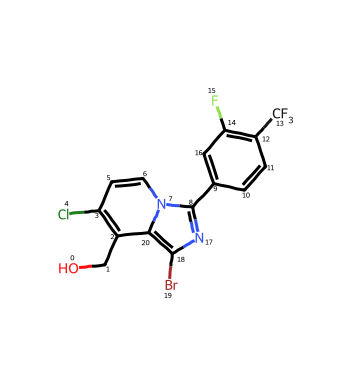 OCc1c(Cl)ccn2c(-c3ccc(C(F)(F)F)c(F)c3)nc(Br)c12